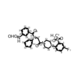 CS(=O)(=O)c1cc(F)ccc1N1CCN(C(=O)CN(C(=O)c2cccc(NC=O)c2)c2ccccc2)CC1